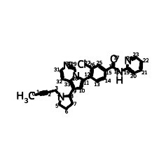 CC#CCN1CCCC1c1cc(-c2ccc(C(=O)Nc3ccccn3)cc2Cl)n2cnccc12